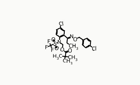 CC/C(=N\OCc1ccc(Cl)cc1)c1cc(Cl)ccc1N(COC(=O)C(C)(C)C)S(=O)(=O)C(F)(F)F